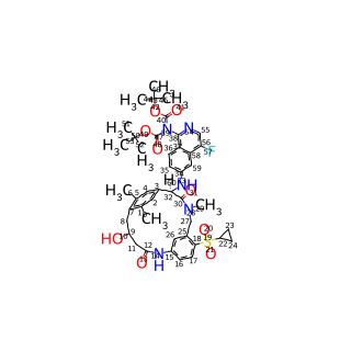 Cc1cc2cc(C)c1CC(O)CC(=O)Nc1ccc(S(=O)(=O)C3CC3)c(c1)CN(C)C(=O)[C@@H]2Nc1ccc2c(N(C(=O)OC(C)(C)C)C(=O)OC(C)(C)C)ncc(F)c2c1